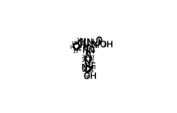 O=C(O)Cn1cnc2c(-n3ncc4ccccc43)nc(N3CCN(c4ncc(O)cc4F)CC3)nc21